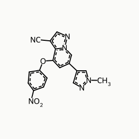 Cn1cc(-c2cc(Oc3ccc([N+](=O)[O-])cc3)c3c(C#N)cnn3c2)cn1